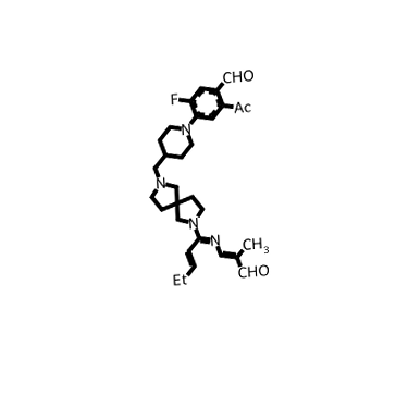 CC/C=C/C(=N\C=C(/C)C=O)N1CCC2(CCN(CC3CCN(c4cc(C(C)=O)c(C=O)cc4F)CC3)C2)C1